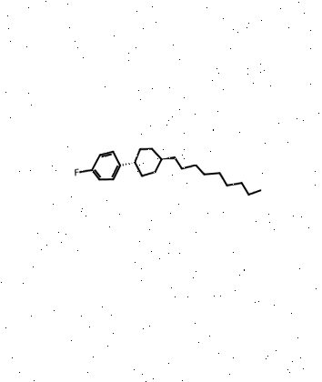 CCCCCCCCC[C@H]1CC[C@H](c2ccc(F)cc2)CC1